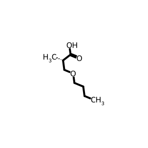 CCCCOC[C@H](C)C(=O)O